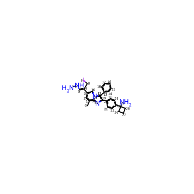 Cc1cc(/C(=C/NN)CI)cn2c(-c3ccccc3)c(-c3ccc(C4(N)CCC4)cc3)nc12